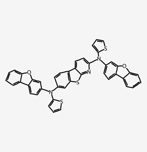 c1csc(N(c2ccc3c(c2)oc2ccccc23)c2ccc3c(c2)sc2nc(N(c4ccc5c(c4)oc4ccccc45)c4cccs4)ccc23)c1